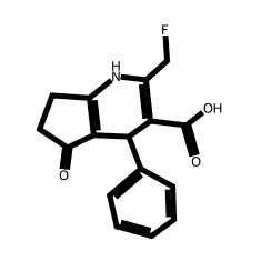 O=C(O)C1=C(CF)NC2=C(C(=O)CC2)C1c1ccccc1